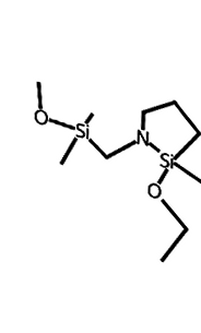 CCO[Si]1(C)CCCN1C[Si](C)(C)OC